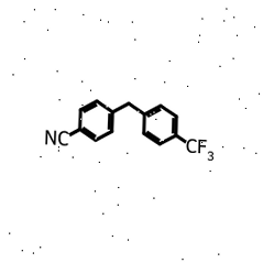 N#Cc1ccc(Cc2ccc(C(F)(F)F)cc2)cc1